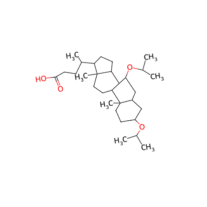 CC(C)OC1CCC2(C)C(C1)CC(OC(C)C)C1C2CCC2(C)C(C(C)CCC(=O)O)CCC12